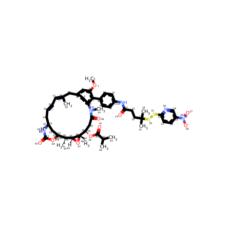 COc1cc2cc(c1-c1ccc(NC(=O)CCC(C)(C)SSc3ccc([N+](=O)[O-])cn3)cc1)N(C)C(=O)C[C@H](OC(=O)C(C)C)[C@]1(C)O[C@H]1[C@H](C)[C@@H]1C[C@H](C/C=C/C=C(\C)C2)NC(=O)O1